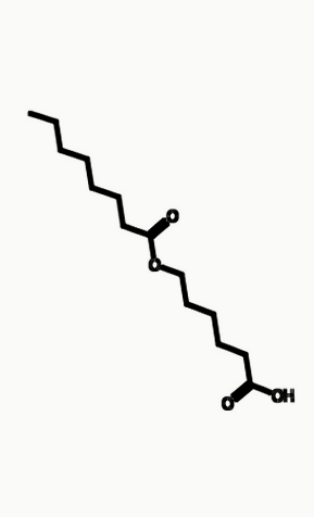 CCCCCCCC(=O)OCCCCCC(=O)O